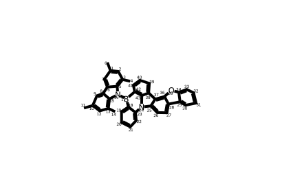 Cc1cc(C)c2c(c1)c1cc(C)cc(C)c1n2B1c2ccccc2-n2c3ccc4c5ccccc5oc4c3c3cccc1c32